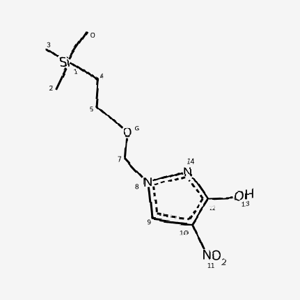 C[Si](C)(C)CCOCn1cc([N+](=O)[O-])c(O)n1